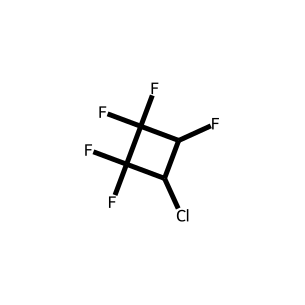 FC1C(Cl)C(F)(F)C1(F)F